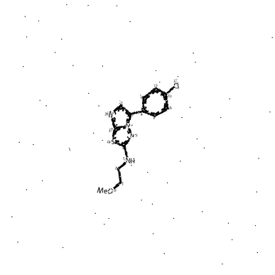 COCCNc1nn2c(-c3ccc(Cl)cc3)cnc2s1